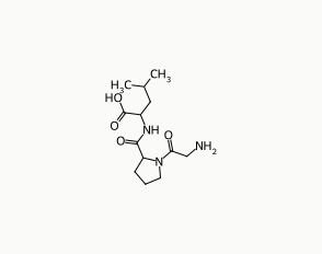 CC(C)CC(NC(=O)C1CCCN1C(=O)CN)C(=O)O